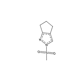 CS(=O)(=O)n1cc2c(n1)CCC2